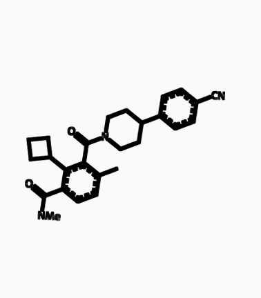 CNC(=O)c1ccc(C)c(C(=O)N2CCC(c3ccc(C#N)cc3)CC2)c1C1CCC1